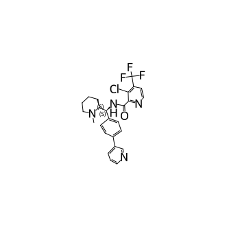 CN1CCCC[C@H]1[C@@H](NC(=O)c1nccc(C(F)(F)F)c1Cl)c1ccc(-c2cccnc2)cc1